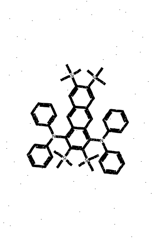 C[Si](C)(C)c1cc2cc3c(N(c4ccccc4)c4ccccc4)c([Si](C)(C)C)c([Si](C)(C)C)c(N(c4ccccc4)c4ccccc4)c3cc2cc1[Si](C)(C)C